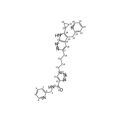 O=C(NCc1ccccn1)c1cn(CCCCc2cc3c(Cc4ccccn4)c(C4CC4)[nH]c3nn2)nn1